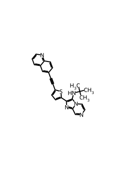 CC(C)(C)Nc1c(-c2ccc(C#Cc3ccc4ncccc4c3)s2)nc2cnccn12